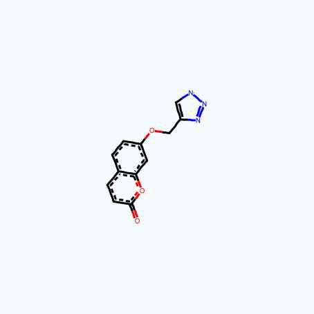 O=c1ccc2ccc(OCC3=C[N]N=N3)cc2o1